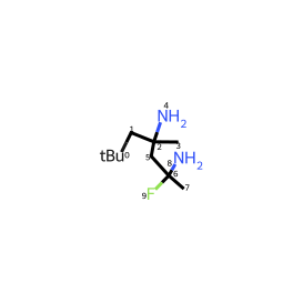 CC(C)(C)CC(C)(N)CC(C)(N)F